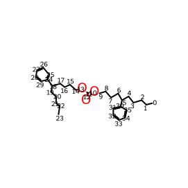 CCCCCC(CCCCOC(=O)OCCCCC(CCCCC)c1ccccc1)c1ccccc1